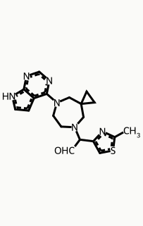 Cc1nc(C(C=O)N2CCN(c3ncnc4[nH]ccc34)CC3(CC3)C2)cs1